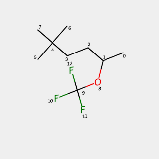 CC(CCC(C)(C)C)OC(F)(F)F